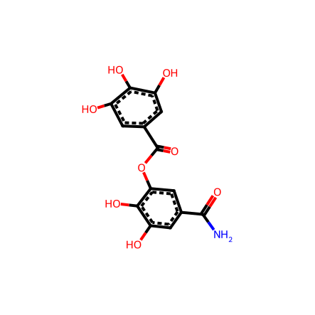 NC(=O)c1cc(O)c(O)c(OC(=O)c2cc(O)c(O)c(O)c2)c1